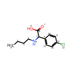 CCCCNC(C(=O)O)c1ccc(Cl)cc1